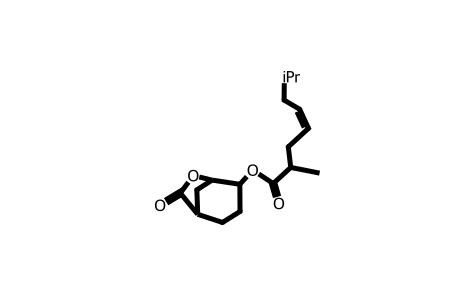 CC(C)C/C=C\CC(C)C(=O)OC1CCC2CC1OC2=O